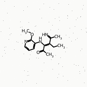 CC/C(C(C)=N)=C(/Nc1cccnc1OC)C(C)=O